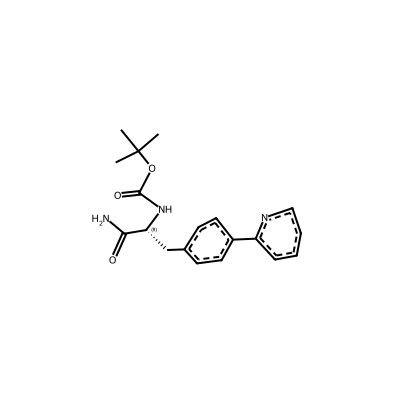 CC(C)(C)OC(=O)N[C@H](Cc1ccc(-c2ccccn2)cc1)C(N)=O